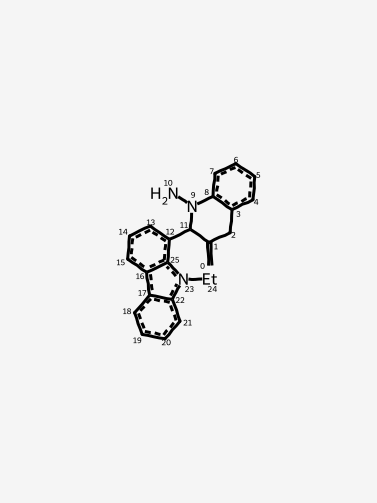 C=C1Cc2ccccc2N(N)C1c1cccc2c3ccccc3n(CC)c12